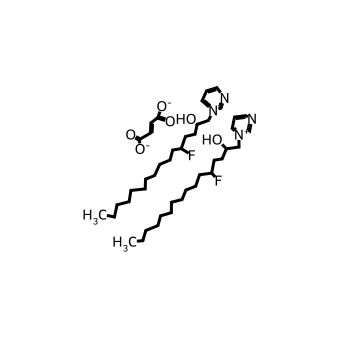 CCCCCCCCCCCC(F)CCC(O)C[n+]1cccnc1.CCCCCCCCCCCC(F)CCC(O)C[n+]1cccnc1.O=C([O-])C=CC(=O)[O-]